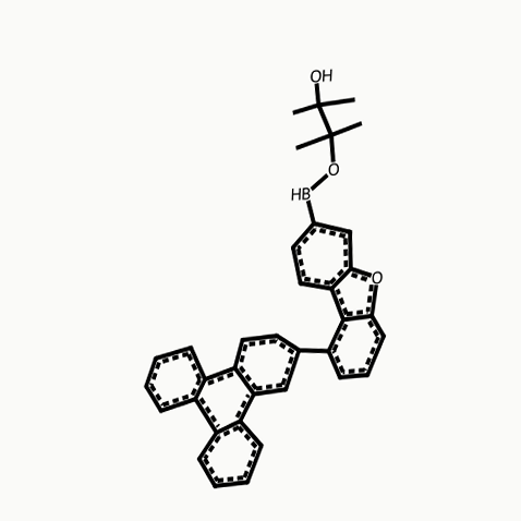 CC(C)(O)C(C)(C)OBc1ccc2c(c1)oc1cccc(-c3ccc4c5ccccc5c5ccccc5c4c3)c12